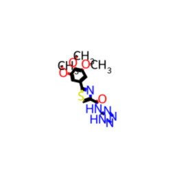 COc1cc(-c2nc(C(=O)Nc3nnn[nH]3)cs2)cc(OC)c1OC